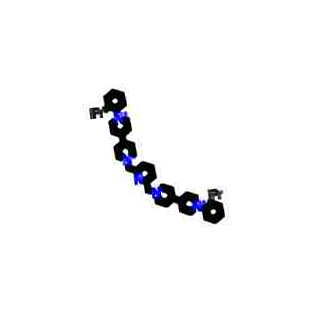 CC(C)c1ccccc1-[n+]1ccc(-c2cc[n+](Cc3cccc(C[n+]4ccc(-c5cc[n+](-c6ccccc6C(C)C)cc5)cc4)n3)cc2)cc1